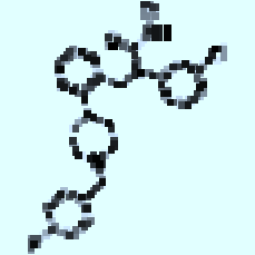 CCNC(=O)N(Cc1ccccc1C1CCN(Cc2ccc(F)cc2)CC1)c1cccc(Cl)c1